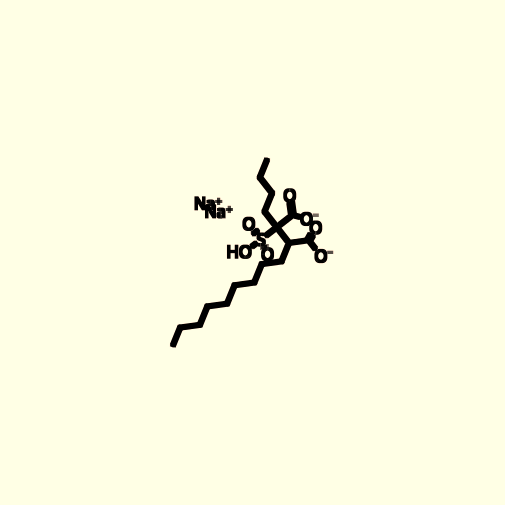 CCCCCCCCCC(C(=O)[O-])C(CCCC)(C(=O)[O-])S(=O)(=O)O.[Na+].[Na+]